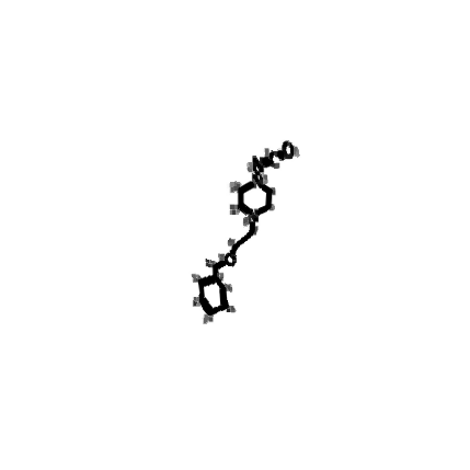 O=C=NN1CCN(CCOCc2ccccc2)CC1